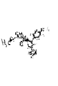 COCC(C)NC(=O)c1cc(-c2ccc(C)cc2)cc(-c2nccs2)c1